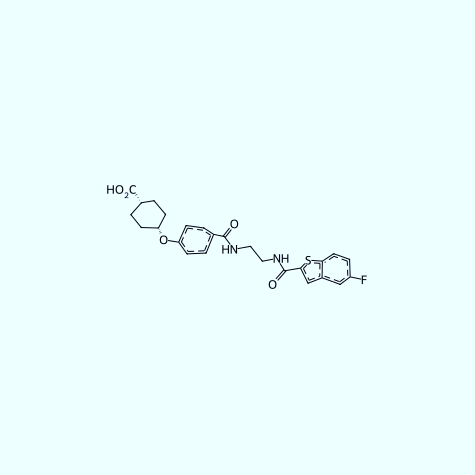 O=C(NCCNC(=O)c1cc2cc(F)ccc2s1)c1ccc(O[C@H]2CC[C@@H](C(=O)O)CC2)cc1